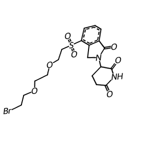 O=C1CCC(N2Cc3c(cccc3S(=O)(=O)CCOCCOCCBr)C2=O)C(=O)N1